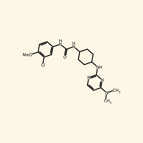 COc1ccc(NC(=O)NC2CCC(Nc3nccc(N(C)C)n3)CC2)cc1Cl